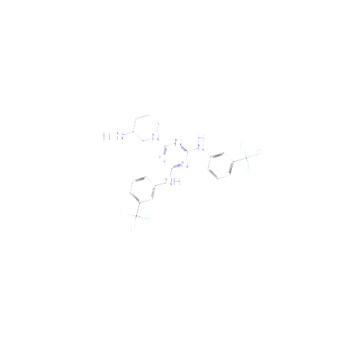 NC1CCCN(c2nc(Nc3cccc(C(F)(F)F)c3)nc(Nc3cccc(C(F)(F)F)c3)n2)C1